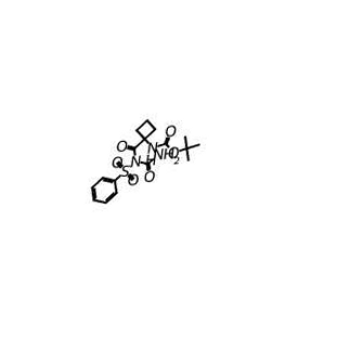 CC(C)(C)OC(=O)NC1(C(=O)N(C(N)=O)S(=O)(=O)c2ccccc2)CCC1